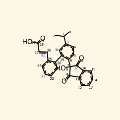 CC(C)c1ccc(C2(O)C(=O)c3ccccc3C2=O)c(-c2ccccc2/C=C/C(=O)O)c1